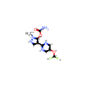 Cn1ncc(-c2ncc(OC(F)F)cn2)c1OC(N)=O